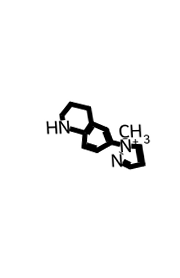 C[N+]1(c2ccc3c(c2)CCCN3)C=CC=N1